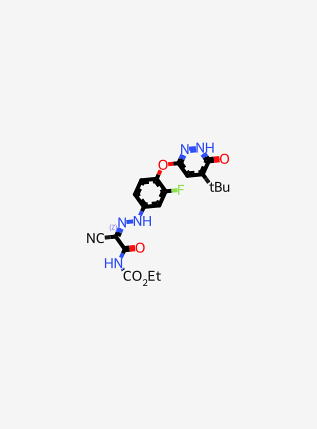 CCOC(=O)NC(=O)/C(C#N)=N\Nc1ccc(Oc2cc(C(C)(C)C)c(=O)[nH]n2)c(F)c1